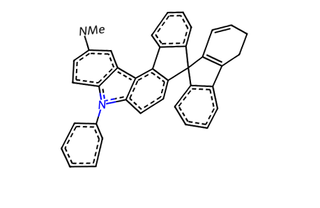 CNc1ccc2c(c1)c1c3c(ccc1n2-c1ccccc1)C1(C2=C(CCC=C2)c2ccccc21)c1ccccc1-3